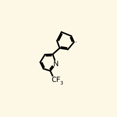 FC(F)(F)c1cccc(-c2c[c]ccc2)n1